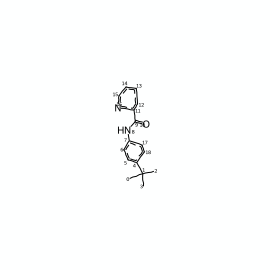 CC(C)(C)c1ccc(NC(=O)c2ccccn2)cc1